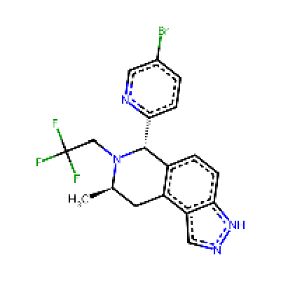 C[C@@H]1Cc2c(ccc3[nH]ncc23)[C@@H](c2ccc(Br)cn2)N1CC(F)(F)F